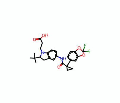 CC(C)(C)C1Cc2cc(NC(=O)C3(c4ccc5c(c4)OC(F)(F)O5)CC3)ccc2N1CCC(=O)O